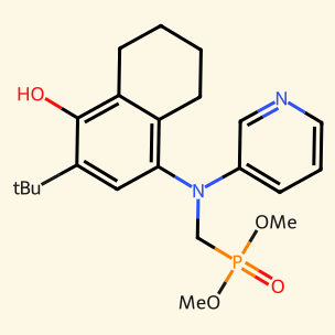 COP(=O)(CN(c1cccnc1)c1cc(C(C)(C)C)c(O)c2c1CCCC2)OC